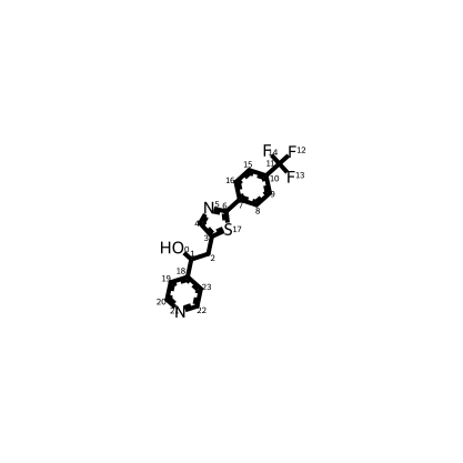 OC(Cc1cnc(-c2ccc(C(F)(F)F)cc2)s1)c1ccncc1